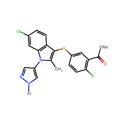 CCn1cc(-n2c(C)c(Sc3ccc(F)c(C(=O)OC)c3)c3ccc(Cl)cc32)cn1